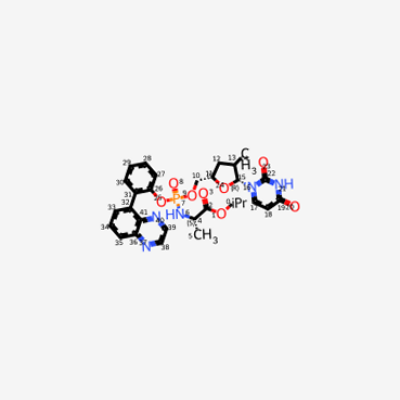 CC(C)OC(=O)[C@H](C)NP(=O)(OC[C@@H]1CC(C)[C@H](n2ccc(=O)[nH]c2=O)O1)Oc1ccccc1-c1cccc2nccnc12